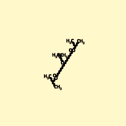 CCCCC(CCCC)CCOC(=O)CCCCCCCCCC(CCCCCCCCCC(=O)OCCC(CCCC)CCCC)OCCCCN(C)C